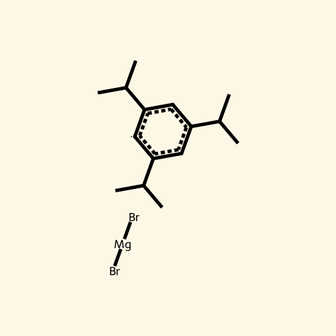 CC(C)c1[c]c(C(C)C)cc(C(C)C)c1.[Br][Mg][Br]